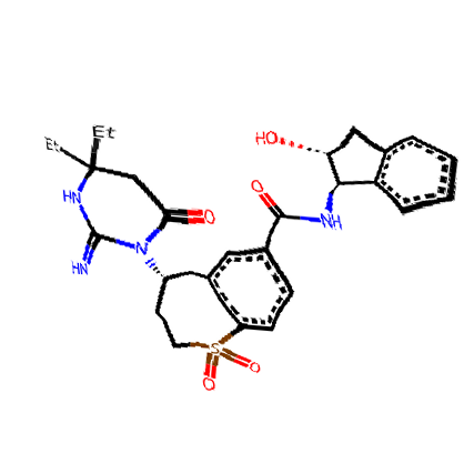 CCC1(CC)CC(=O)N([C@H]2CCS(=O)(=O)c3ccc(C(=O)N[C@@H]4c5ccccc5C[C@H]4O)cc32)C(=N)N1